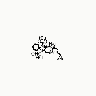 CC(C)CC(C(=O)c1nnc(SCCN(C)C)o1)N(C=O)C1(NC(=O)OC(C)(C)C)CCCCC1.Cl